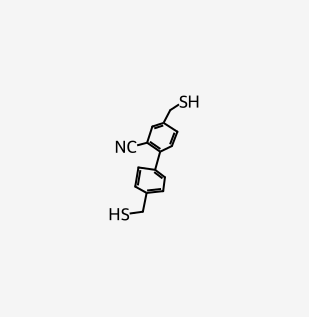 N#Cc1cc(CS)ccc1-c1ccc(CS)cc1